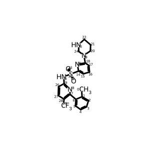 Cc1ccccc1-c1nc(NS(=O)(=O)c2cccc(N3CCCNC3)n2)ccc1C(F)(F)F